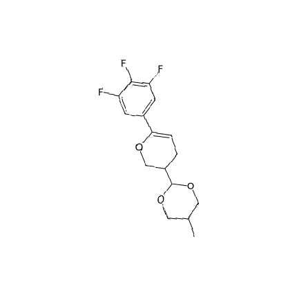 CC1COC(C2CC=C(c3cc(F)c(F)c(F)c3)OC2)OC1